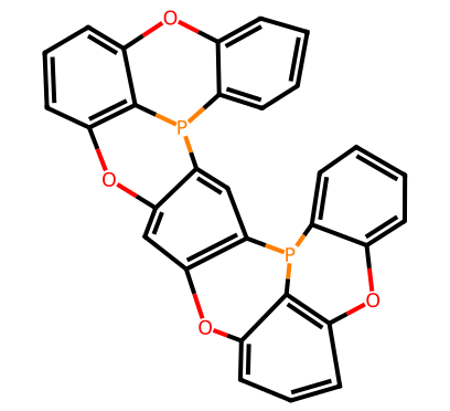 c1ccc2c(c1)oc1cccc3oc4cc5oc6cccc7oc8ccccc8p(c5cc4p2c13)c76